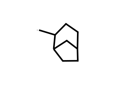 [CH2]C1CCC2CCC1C2